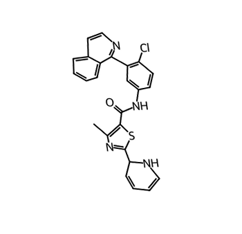 Cc1nc(C2C=CC=CN2)sc1C(=O)Nc1ccc(Cl)c(-c2nccc3ccccc23)c1